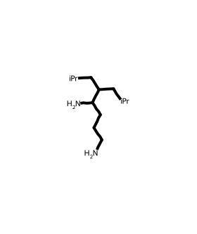 CC(C)CC(CC(C)C)C(N)CCCN